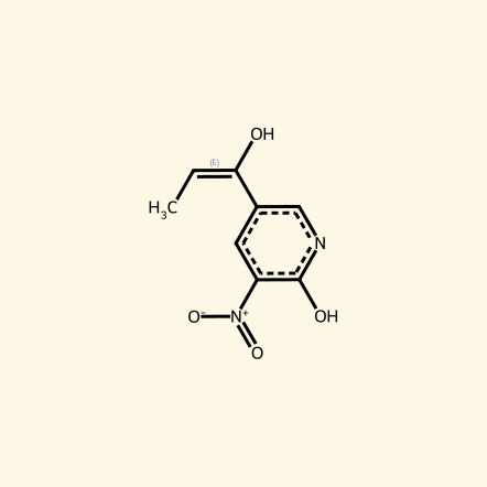 C/C=C(/O)c1cnc(O)c([N+](=O)[O-])c1